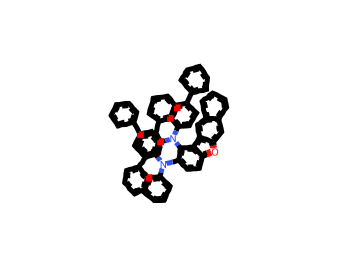 c1ccc(-c2ccc(N(c3ccccc3-c3ccccc3)c3c(N(c4ccccc4)c4ccc(-c5ccccc5)cc4-c4ccccc4)ccc4oc5cc6ccccc6cc5c34)cc2)cc1